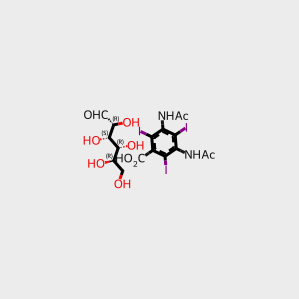 CC(=O)Nc1c(I)c(NC(C)=O)c(I)c(C(=O)O)c1I.O=C[C@H](O)[C@@H](O)[C@H](O)[C@H](O)CO